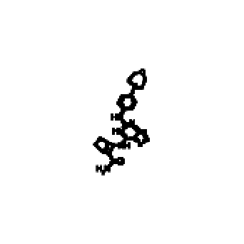 NC(=O)C1C2CCC(C2)C1Nc1[nH]c(Nc2ccc(N3CCOCC3)cc2)nc2ncnc1-2